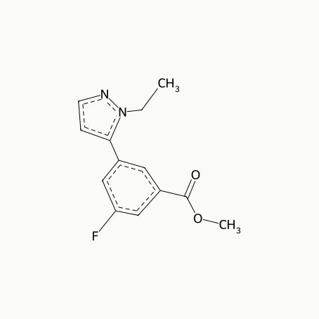 CCn1nccc1-c1cc(F)cc(C(=O)OC)c1